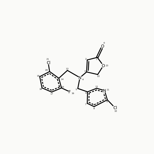 O=C1C=C(N(Cc2ccc(Cl)nc2)Cc2c(F)cccc2Cl)CO1